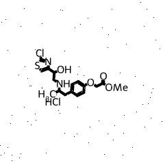 COC(=O)COc1ccc(CC(C)NCC(O)c2csc(Cl)n2)cc1.Cl